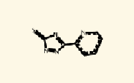 S=C1N=NC(c2ccccn2)=N1